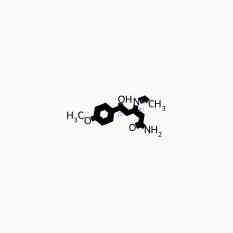 C\C=N/C(/C=C(\O)c1ccc(OC)cc1)=C/C(N)=O